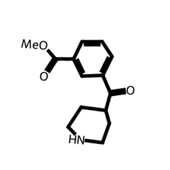 COC(=O)c1cccc(C(=O)C2CCNCC2)c1